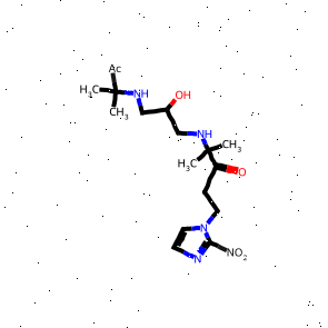 CC(=O)C(C)(C)NCC(O)CNC(C)(C)C(=O)CCn1ccnc1[N+](=O)[O-]